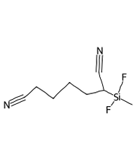 C[Si](F)(F)C(C#N)CCCCC#N